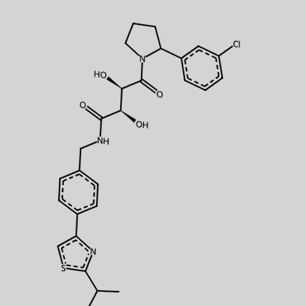 CC(C)c1nc(-c2ccc(CNC(=O)[C@H](O)[C@@H](O)C(=O)N3CCCC3c3cccc(Cl)c3)cc2)cs1